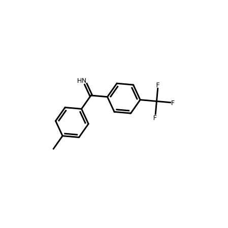 Cc1ccc(C(=N)c2ccc(C(F)(F)F)cc2)cc1